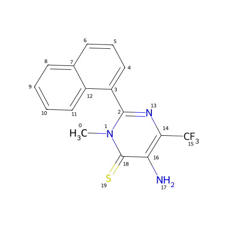 Cn1c(-c2cccc3ccccc23)nc(C(F)(F)F)c(N)c1=S